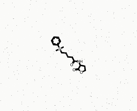 C[Si](C)(CCCCC(=O)NC1CCOC1=O)c1ccccc1